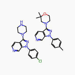 Cc1ccc(-n2nc(N3CCOC(C)(C)C3)c3ccncc32)cc1.Clc1ccc(-n2nc(N3CCNCC3)c3ccncc32)cc1